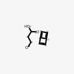 OC(Cl)CCCl.c1cc2ccc1-2